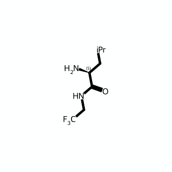 CC(C)C[C@H](N)C(=O)NCC(F)(F)F